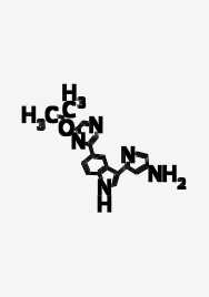 CC(C)Oc1cncc(-c2ccc3[nH]cc(-c4cc(N)ccn4)c3c2)n1